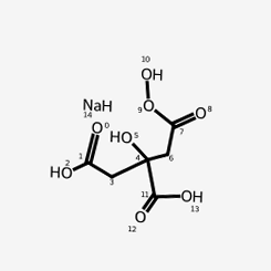 O=C(O)CC(O)(CC(=O)OO)C(=O)O.[NaH]